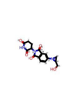 O=C1CCC(N2C(=O)c3ccc(N4CC4CO)cc3C2=O)C(=O)N1